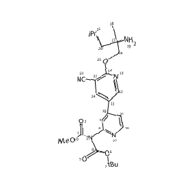 COC(=O)N(C(=O)OC(C)(C)C)c1cc(-c2cnc(OCC(C)(N)CC(C)C)c(C#N)c2)ccn1